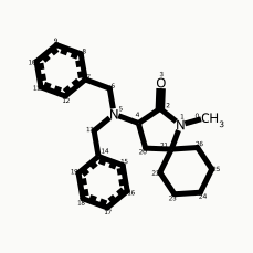 CN1C(=O)C(N(Cc2ccccc2)Cc2ccccc2)CC12CCCCC2